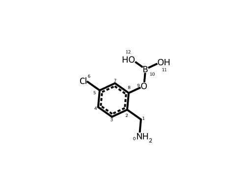 NCc1ccc(Cl)cc1OB(O)O